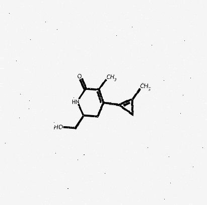 CC1=C(C2=C(C)C(=O)NC(CO)C2)C1